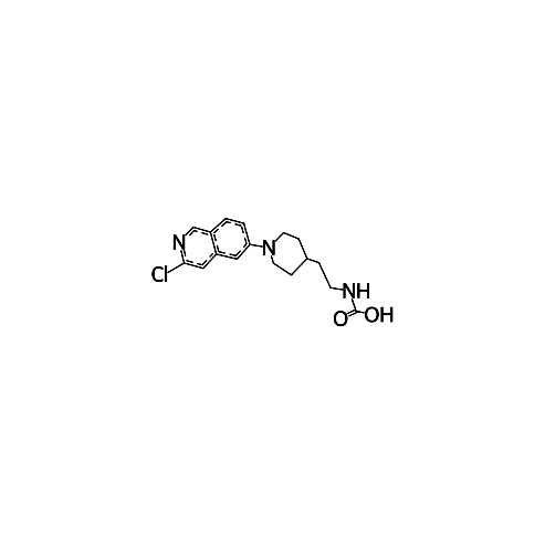 O=C(O)NCCC1CCN(c2ccc3cnc(Cl)cc3c2)CC1